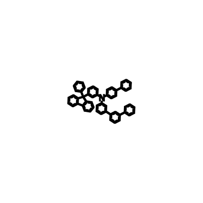 c1ccc(-c2ccc(N(c3cccc(-c4cccc(-c5ccccc5)c4)c3)c3cccc(C4(c5ccccc5)c5ccccc5-c5ccccc54)c3)cc2)cc1